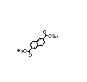 CC(C)COC(=O)c1ccc2cc(C(=O)OCC(C)C)ccc2c1